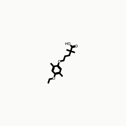 CCOc1cc(C)c(OCCCC(C)(C)C(=O)O)cc1C